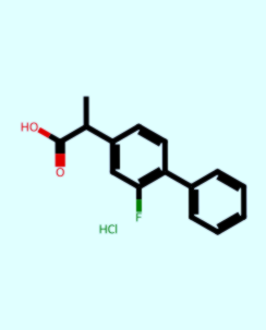 CC(C(=O)O)c1ccc(-c2ccccc2)c(F)c1.Cl